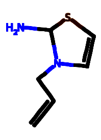 C=CCN1C=CSC1N